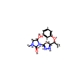 CCC(Oc1ccccc1)c1nnc(N2C(=O)N(C)CC2O)s1